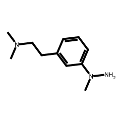 CN(C)CCc1cccc(N(C)N)c1